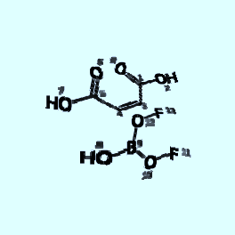 O=C(O)/C=C\C(=O)O.OB(OF)OF